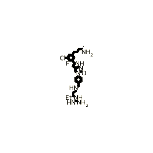 CC[C@H](CCNCc1ccc(-n2cc3cc(-c4cc(CCC[C@H](C)N)cc(Cl)c4F)[nH]c3nc2=O)cc1)NC(=N)N